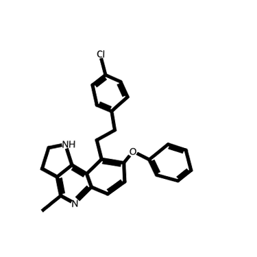 Cc1nc2ccc(Oc3ccccc3)c(CCc3ccc(Cl)cc3)c2c2c1CCN2